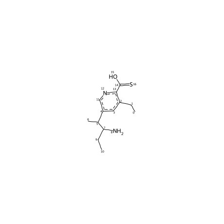 CCc1cc(C(C)C(N)CC)cnc1C(O)=S